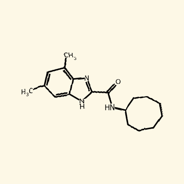 Cc1cc(C)c2nc(C(=O)NC3CCCCCCC3)[nH]c2c1